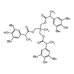 CC(C(=O)OCC(C)(COC(=O)C(C)c1cc(C(C)(C)C)c(O)c(C(C)(C)C)c1)COC(=O)C(C)c1cc(C(C)(C)C)c(O)c(C(C)(C)C)c1)c1cc(C(C)(C)C)c(O)c(C(C)(C)C)c1